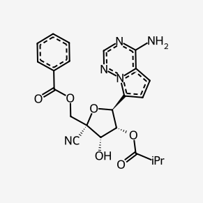 CC(C)C(=O)O[C@H]1[C@H](c2ccc3c(N)ncnn23)O[C@](C#N)(COC(=O)c2ccccc2)[C@H]1O